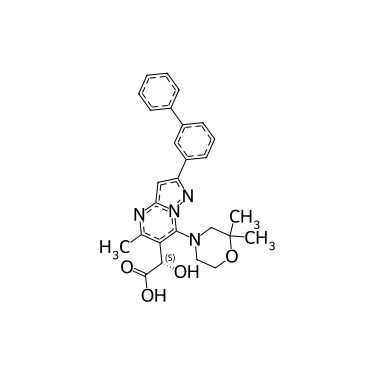 Cc1nc2cc(-c3cccc(-c4ccccc4)c3)nn2c(N2CCOC(C)(C)C2)c1[C@H](O)C(=O)O